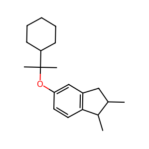 CC1Cc2cc(OC(C)(C)C3CCCCC3)ccc2C1C